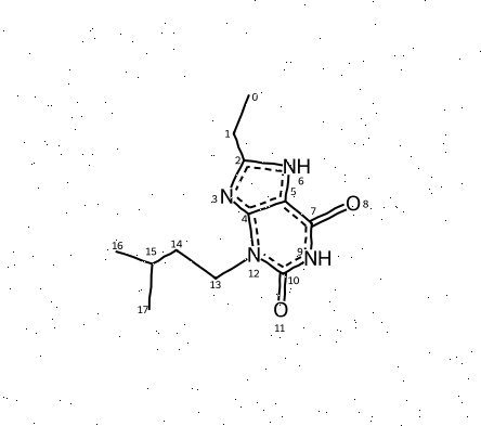 CCc1nc2c([nH]1)c(=O)[nH]c(=O)n2CCC(C)C